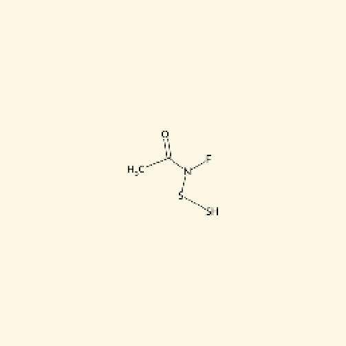 CC(=O)N(F)SS